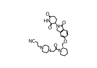 N#CCCN1CCN(CC(=O)N2CCCC[C@@H]2COc2ccc3c(c2)CN(C2CCC(=O)NC2=O)C3=O)CC1